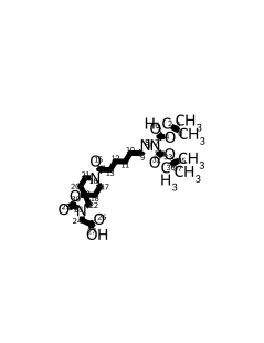 CC(C)(C)OC(=O)N(N=CCCCCC(=O)N1CCC2(CC1)CN(CC(=O)O)C(=O)O2)C(=O)OC(C)(C)C